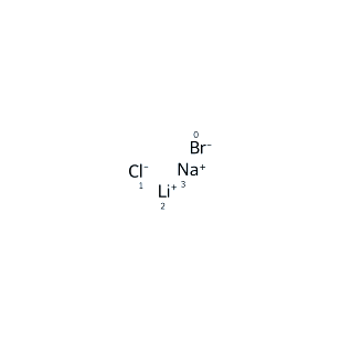 [Br-].[Cl-].[Li+].[Na+]